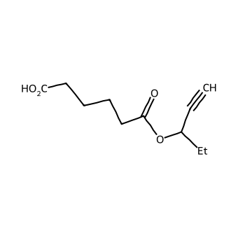 C#CC(CC)OC(=O)CCCCC(=O)O